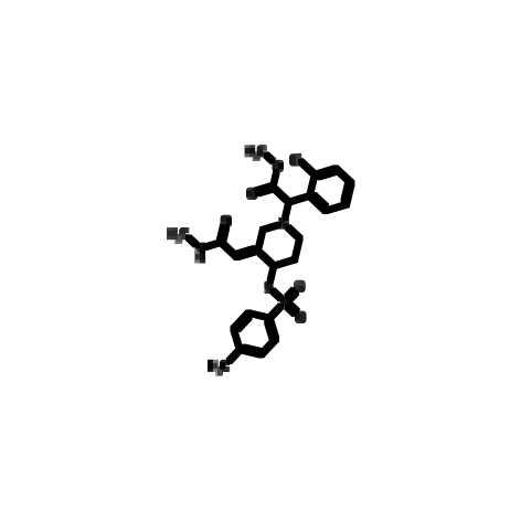 CNC(=O)/C=C1\CN(C(C(=O)OC)c2ccccc2Cl)CCC1SS(=O)(=O)c1ccc(C)cc1